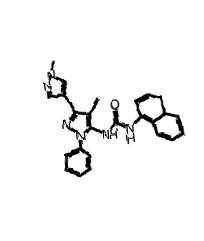 Cc1c(-c2cnn(C)c2)nn(-c2ccccc2)c1NC(=O)NC1=C2C=CC=CC2CC=C1